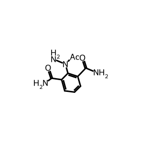 CC(=O)N(N)c1c(C(N)=O)cccc1C(N)=O